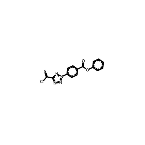 O=C(Oc1ccccc1)c1ccc(-n2nnc(C(=S)Cl)n2)cc1